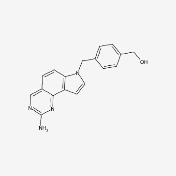 Nc1ncc2ccc3c(ccn3Cc3ccc(CO)cc3)c2n1